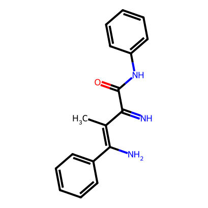 C/C(C(=N)C(=O)Nc1ccccc1)=C(/N)c1ccccc1